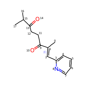 C/C(=C\c1ccccn1)C(=O)CCC(=O)C(C)C